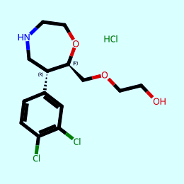 Cl.OCCOC[C@@H]1OCCNC[C@H]1c1ccc(Cl)c(Cl)c1